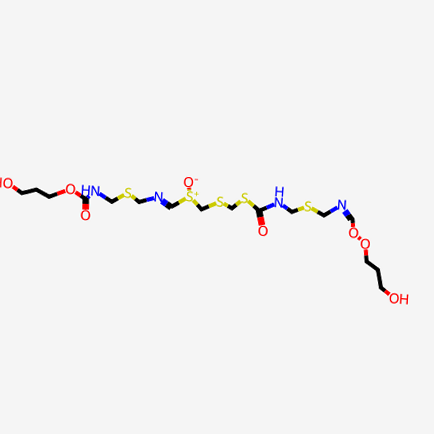 O=C(NCSC/N=C/[S+]([O-])CSCSC(=O)NCSC/N=C\OOCCCO)OCCCO